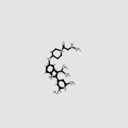 CNCC(=O)N1CCC(Oc2ccc3[nH]c(-c4cc(C)nc(C)c4)c(C(C)C)c3c2)CC1